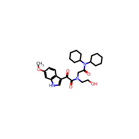 COc1ccc2c(C(=O)C(=O)N(CCO)CC(=O)N(C3CCCCC3)C3CCCCC3)c[nH]c2c1